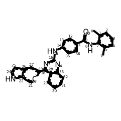 Cc1cccc(C)c1NC(=O)c1ccc(Nc2nc(-c3ccc4[nH]ccc4c3)c3ccccc3n2)cc1